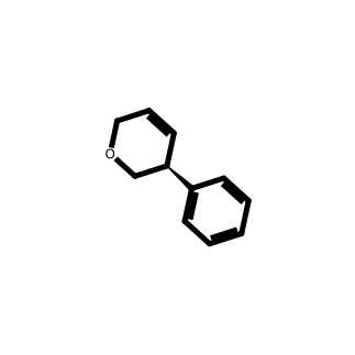 C1=C[C@@H](c2ccccc2)COC1